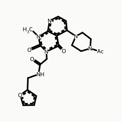 CC(=O)N1CCN(c2ccnc3c2c(=O)n(CC(=O)NCc2ccco2)c(=O)n3C)CC1